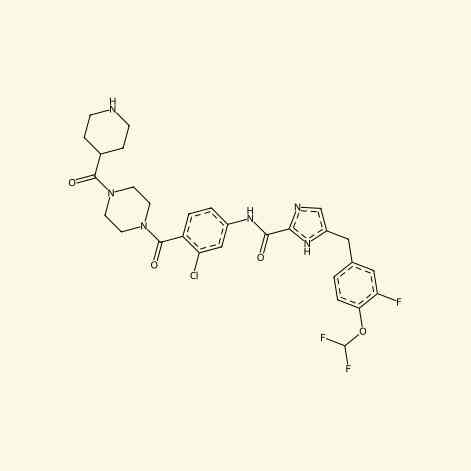 O=C(Nc1ccc(C(=O)N2CCN(C(=O)C3CCNCC3)CC2)c(Cl)c1)c1ncc(Cc2ccc(OC(F)F)c(F)c2)[nH]1